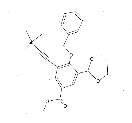 COC(=O)c1cc(C#C[Si](C)(C)C)c(OCc2ccccc2)c(C2OCCO2)c1